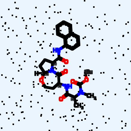 C[C@@H](C(=O)N[C@H]1CCO[C@H]2CC[C@@H](C(=O)Nc3cccc4ccccc34)N2C1=O)N(C)C(=O)OC(C)(C)C